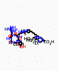 CCN1CCN(CC(=O)O)CCN(CC(CCCCCc2ccc(NC(=S)NCCCC[C@@H]3NC(=O)[C@@H](Cc4ccc(O)cc4)NC(=O)[C@H](C(=O)O)NC(=O)CNC(=O)C(CCCNC(=N)N)NC3=O)cc2)N(CC(=O)O)CC(=O)O)CC1